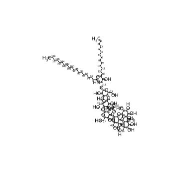 CCCCCCCCCCCCC/C=C/[C@@H](O)[C@H](CO[C@@H]1OC(CO)[C@@H](O[C@@H]2OC(CO)[C@H](O[C@@H]3OC(CO)[C@H](O)[C@H](O[C@@H]4OC(CO)[C@H](O)[C@H](O[C@H]5OC(CO)[C@H](O)[C@H](O)C5O)C4O[C@H]4OC(C)[C@@H](O)C(O)[C@@H]4O)C3NC(C)=O)[C@H](O)C2O)[C@H](O)C1O)NC(=O)CCCCCCCCCCCCCCCCCCC